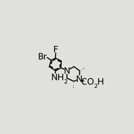 C[C@@H]1CN(c2cc(F)c(Br)cc2N)C[C@H](C)N1C(=O)O